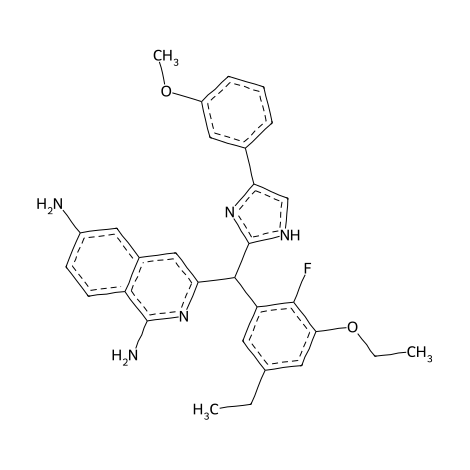 CCOc1cc(CC)cc(C(c2cc3cc(N)ccc3c(N)n2)c2nc(-c3cccc(OC)c3)c[nH]2)c1F